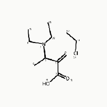 C=C(C(=O)O)C(C)N(CC)CC.CCCl